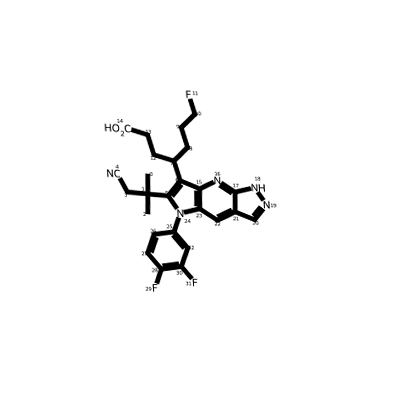 CC(C)(CC#N)c1c(C(CCCF)CCC(=O)O)c2nc3[nH]ncc3cc2n1-c1ccc(F)c(F)c1